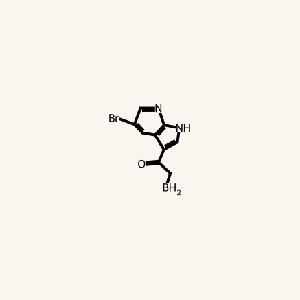 BCC(=O)c1c[nH]c2ncc(Br)cc12